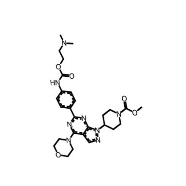 COC(=O)N1CCC(n2ncc3c(N4CCOCC4)nc(-c4ccc(NC(=O)OCCN(C)C)cc4)nc32)CC1